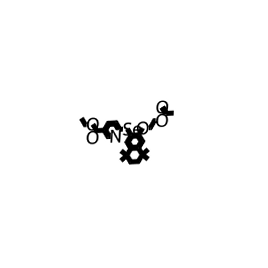 CCOC(=O)c1ccc([Se]c2cc3c(cc2OCCOC(C)=O)C(C)(C)CCC3(C)C)nc1